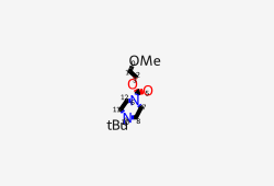 COCCOC(=O)N1CCN(C(C)(C)C)CC1